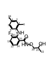 Cc1cc(I)ccc1Nc1c(F)cccc1C(=O)NOCC(C)O